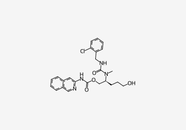 CN(C(=O)NCc1ccccc1Cl)[C@@H](CCCO)COC(=O)Nc1cc2ccccc2cn1